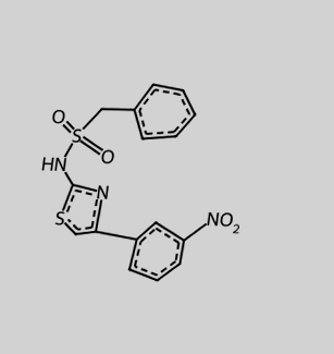 O=[N+]([O-])c1cccc(-c2csc(NS(=O)(=O)Cc3ccccc3)n2)c1